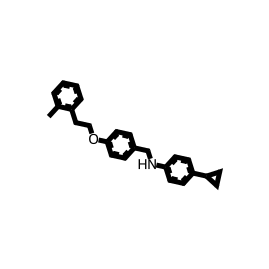 Cc1ccccc1CCOc1ccc(CNc2ccc(C3CC3)cc2)cc1